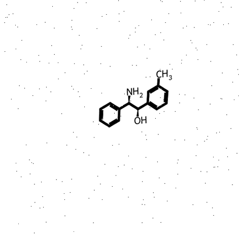 Cc1cccc([C@@H](O)[C@H](N)c2ccccc2)c1